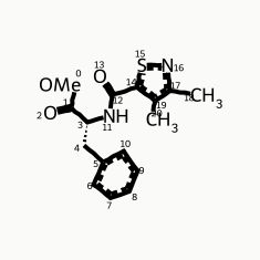 COC(=O)[C@@H](Cc1ccccc1)NC(=O)c1snc(C)c1C